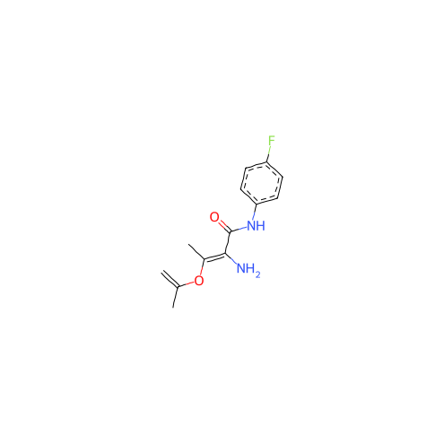 C=C(C)O/C(C)=C(\N)C(=O)Nc1ccc(F)cc1